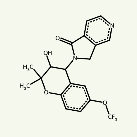 CC1(C)Oc2ccc(OC(F)(F)F)cc2C(N2Cc3cnccc3C2=O)C1O